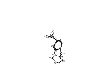 O=[N+]([O-])c1ccc2c(c1)N1CCCN=C1S2